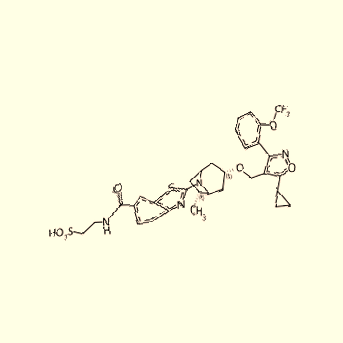 C[C@@H]1CC2C[C@H](OCc3c(-c4ccccc4OC(F)(F)F)noc3C3CC3)CC1N2c1nc2ccc(C(=O)NCCS(=O)(=O)O)cc2s1